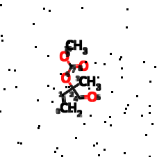 C=CC(C)(C=O)OC(=O)OC